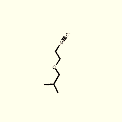 [C-]#[N+]CCOCC(C)C